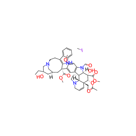 CC[C@]1(O)C[C@H]2C[N@](CCc3c([nH]c4ccccc34)[C@@](C(=O)OC)(c3cc4c(cc3OC)N(C=O)[C@H]3[C@@](O)(C(=O)OC)[C@H](OC(C)=O)[C@]5(CC)C=CCN6CC[C@]43[C@@H]65)C2)C1.CI